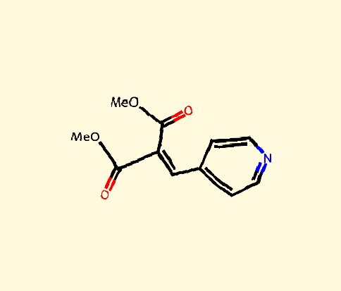 COC(=O)C(=Cc1ccncc1)C(=O)OC